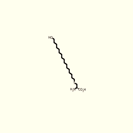 N[C@@H](CSCCCCCCCCCCCCCCCCCO)C(=O)O